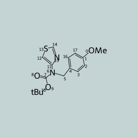 COc1ccc(CN(C(=O)OC(C)(C)C)c2cscn2)cc1